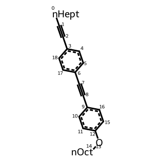 CCCCCCCC#Cc1ccc(C#Cc2ccc(OCCCCCCCC)cc2)cc1